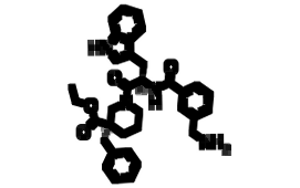 CCOC(=O)[C@]1(Cc2ccccc2)CCCN(C(=O)[C@@H](Cc2c[nH]c3ccccc23)NC(=O)c2cccc(CN)c2)C1